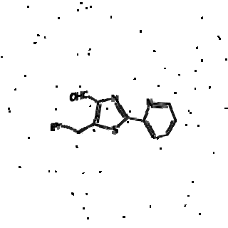 CC(C)Cc1sc(-c2ccccn2)nc1C=O